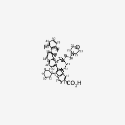 O=C(O)c1ccc2c(C3CCCCC3)c3n(c2c1)CCN(CCN1CCOCC1)Cc1c-3ccc2ccc(-c3c(F)cccc3F)nc12